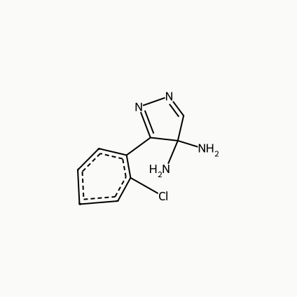 NC1(N)C=NN=C1c1ccccc1Cl